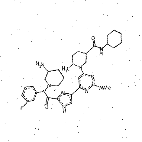 CNc1nc(-c2c[nH]c(C(=O)N(c3cccc(F)c3)N3CCCC(N)C3)n2)cc(N2CC(C(=O)NC3CCCCC3)CCC2C)n1